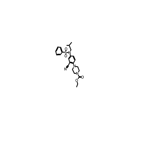 CCOC(=O)N1CCN(c2ccc(N(CC(C)C)S(=O)(=O)c3ccccc3)cc2C#N)CC1